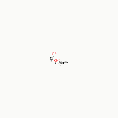 [C].[Mn+4].[O-2].[O-2]